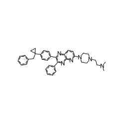 CN(C)CCN1CCN(c2ccc3nc(-c4ccc(C5(Cc6ccccc6)CC5)cc4)c(-c4ccccc4)nc3n2)CC1